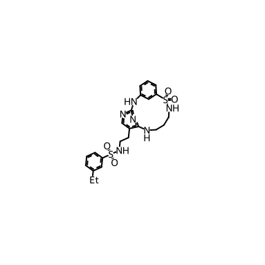 CCc1cccc(S(=O)(=O)NCCc2cnc3nc2NCCCNS(=O)(=O)c2cccc(c2)N3)c1